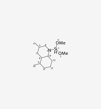 CO[SiH](OC)N1CC(C)CC2C(C)CCCC21